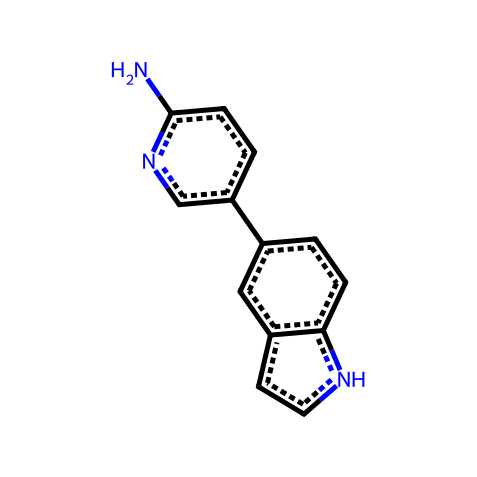 Nc1ccc(-c2ccc3[nH]ccc3c2)cn1